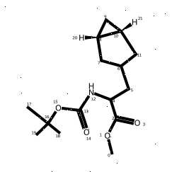 COC(=O)C(CC1C[C@@H]2C[C@@H]2C1)NC(=O)OC(C)(C)C